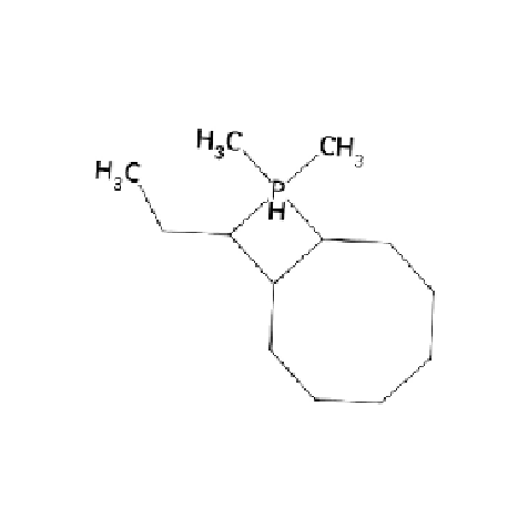 CCC1C2CCCCCCC2[PH]1(C)C